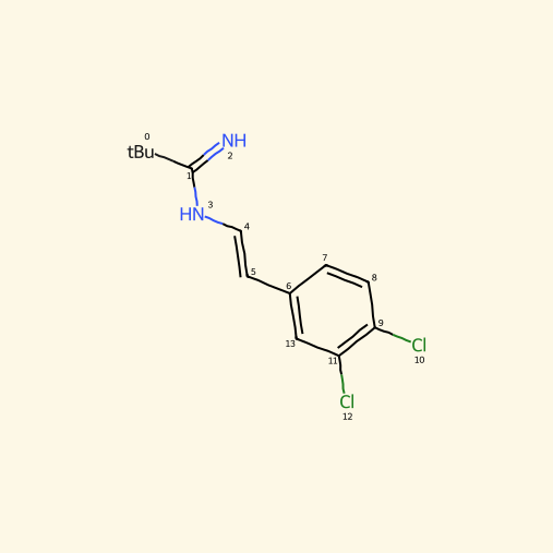 CC(C)(C)C(=N)NC=Cc1ccc(Cl)c(Cl)c1